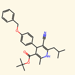 CC1=C(C(=O)OC(C)(C)C)C(c2ccc(OCc3ccccc3)cc2)C(C#N)=C(CC(C)C)N1